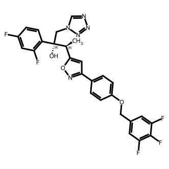 C[C@@H](c1cc(-c2ccc(OCc3cc(F)c(F)c(F)c3)cc2)no1)[C@](O)(Cn1cnnn1)c1ccc(F)cc1F